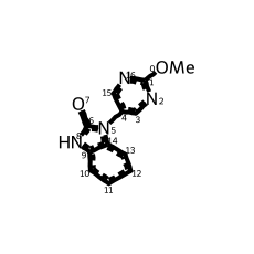 COc1ncc(-n2c(=O)[nH]c3ccccc32)cn1